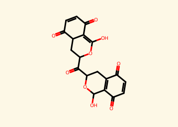 O=C1C=CC(=O)C2=C1CC(C(=O)C1CC3C(=O)C=CC(=O)C3=C(O)O1)OC2O